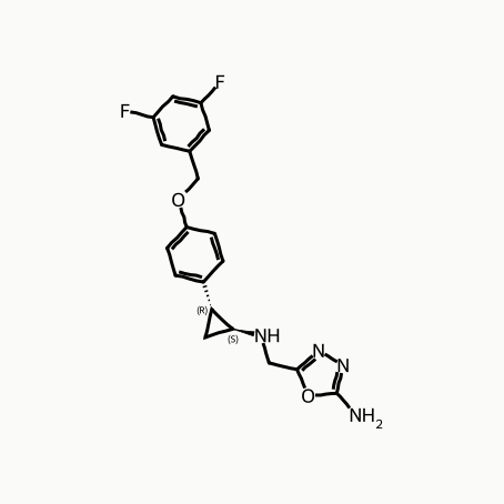 Nc1nnc(CN[C@H]2C[C@@H]2c2ccc(OCc3cc(F)cc(F)c3)cc2)o1